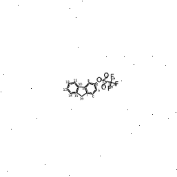 O=S(=O)(Oc1ccc2c(c1)-c1ccccc1C2)C(F)(F)F